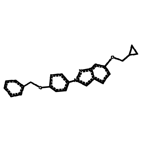 c1ccc(COc2ccc(-n3cc4ccc(OCC5CC5)cc4n3)cc2)cc1